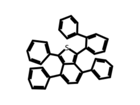 c1ccc(-c2ccccc2-c2sc(-c3ccccc3)c3c(-c4ccccc4)ccc(-c4ccccc4)c23)cc1